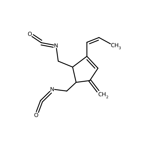 C=C1C=C(/C=C\C)C(CN=C=O)C1CN=C=O